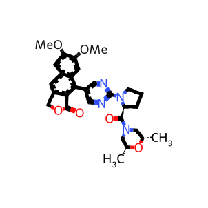 COc1cc2cc3c(c(-c4cnc(N5CCC[C@H]5C(=O)N5C[C@@H](C)O[C@@H](C)C5)nc4)c2cc1OC)C(=O)OC3